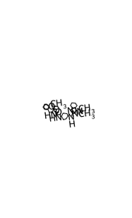 COC(=O)[C@H](Cc1ccccc1)NC(=O)N[C@H]1CC[C@@H](Nc2nc3c(c(N(C)C)n2)CCCC3)CC1